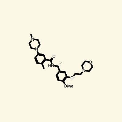 COc1ccc([C@@H](C)NC(=O)c2cc(N3CCN(C)CC3)ccc2C)cc1OCCN1CCOCC1